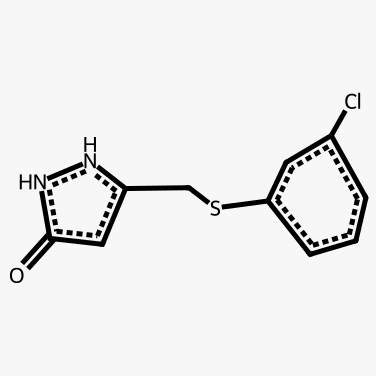 O=c1cc(CSc2cccc(Cl)c2)[nH][nH]1